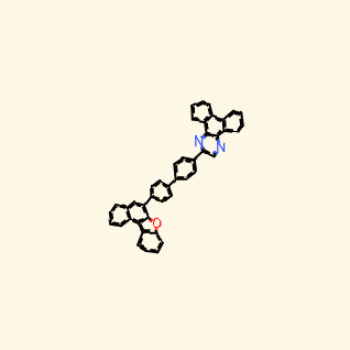 c1ccc2c(c1)cc(-c1ccc(-c3ccc(-c4cnc5c6ccccc6c6ccccc6c5n4)cc3)cc1)c1oc3ccccc3c12